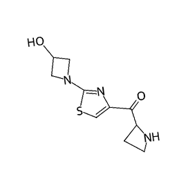 O=C(c1csc(N2CC(O)C2)n1)C1CCN1